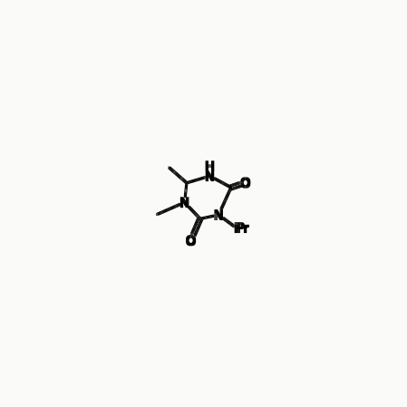 CC1NC(=O)N(C(C)C)C(=O)N1C